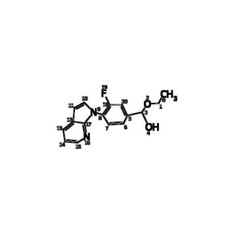 CCOC(O)c1ccc(-n2ccc3cccnc32)c(F)c1